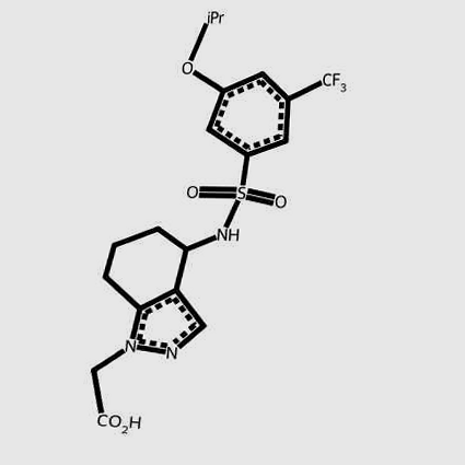 CC(C)Oc1cc(C(F)(F)F)cc(S(=O)(=O)NC2CCCc3c2cnn3CC(=O)O)c1